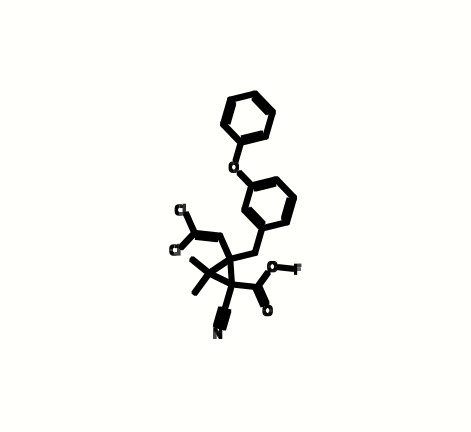 CC1(C)C(C=C(Cl)Cl)(Cc2cccc(Oc3ccccc3)c2)C1(C#N)C(=O)OF